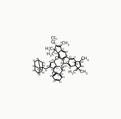 CC1=CC(C)(C)c2cc3c(cc21)-c1cc2c(cc1[CH]3/[Zr+2](=[CH]/c1ccccc1)[C]1=C(C)C(CC34CC5CC(CC(C5)C3)C4)=CC1C)C(C)(C)C=C2C.[Cl-].[Cl-]